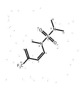 C=C(/C=C\N(C)S(=O)(=O)N(C)C)C(F)(F)F